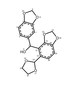 OC(c1ccc2c(c1)OCO2)c1c(C2OCCO2)ccc2c1OCO2